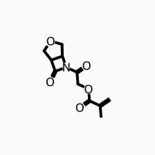 C=C(C)C(=O)OCC(=O)N1C(=O)C2COCC21